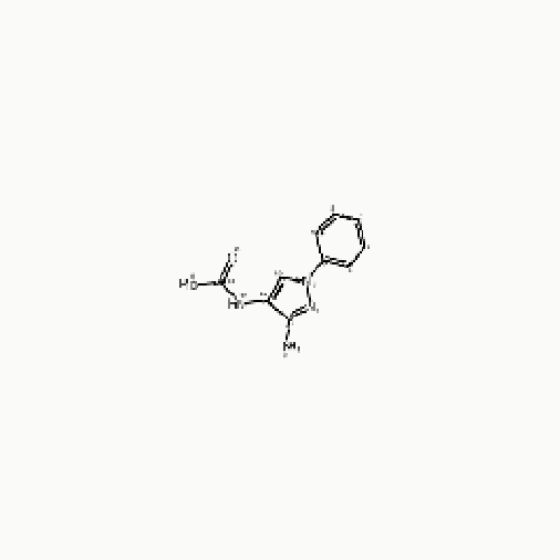 Nc1nn(-c2ccccc2)cc1NC(=O)O